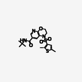 Cc1cc(S(=O)(=O)N2CCOc3ncc(C(=O)NC(C)(C)C)cc32)c(C)s1